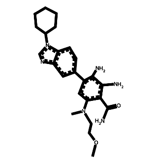 COCCN(C)c1cc(-c2ccc3c(c2)ncn3C2CCCCC2)c(N)c(N)c1C(N)=O